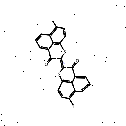 O=c1/c(=c2\sc3ccc(I)c4cccc(c2=O)c34)sc2ccc(I)c3cccc1c23